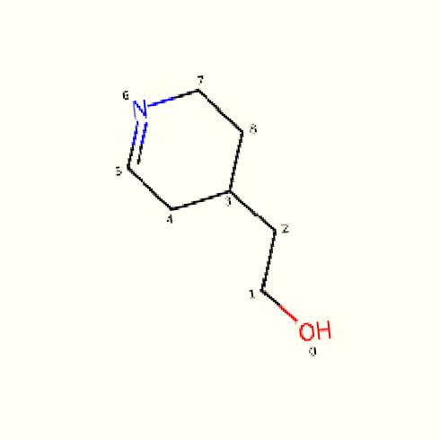 OCCC1CC=NCC1